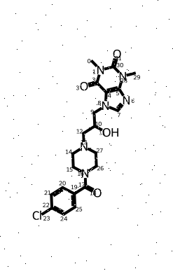 Cn1c(=O)c2c(ncn2CC(O)CN2CCN(C(=O)c3ccc(Cl)cc3)CC2)n(C)c1=O